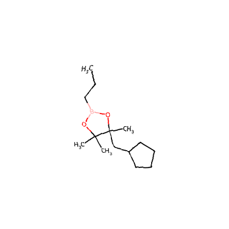 CCCB1OC(C)(C)C(C)(CC2CCCC2)O1